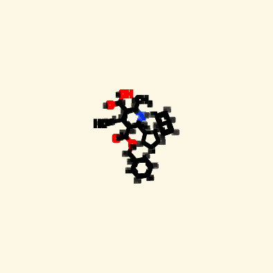 C#Cc1c(C(=O)O)c(C)nc(C2CCCC2)c1C(=O)OCc1ccccc1.c1cc2ccc1-2